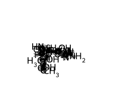 CO[C@H](COP(=O)(O)OC)[C@@H](O)[C@@H](OP(=O)(S)OC[C@@H]1C[C@@H](O)[C@H](n2cnc3c(N)ncnc32)O1)n1cc(F)c2c(=O)[nH]cnc21